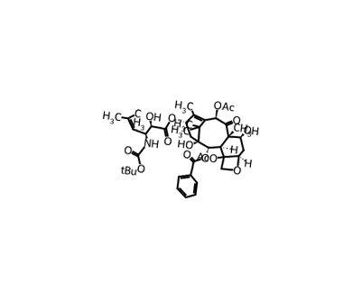 CC(=O)O[C@H]1C(=O)[C@@]2(C)[C@H]([C@H](OC(=O)c3ccccc3)[C@]3(O)C[C@H](OC(=O)[C@H](O)[C@H](C=C(C)C)NC(=O)OC(C)(C)C)C(C)=C1C3(C)C)C1(OC(C)=O)CO[C@@H]1C[C@@H]2O